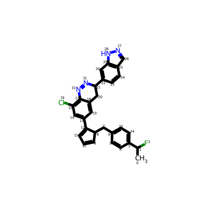 CC(F)c1ccc(CC2C=CC=C2c2cc(Cl)c3c(c2)CC(c2ccc4cn[nH]c4c2)N=N3)cc1